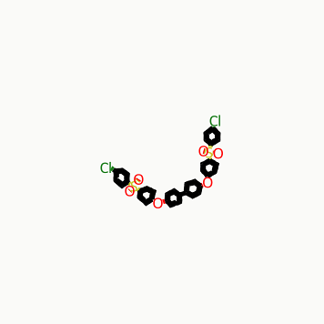 O=S(=O)(c1ccc(Cl)cc1)c1ccc(Oc2ccc(-c3ccc(Oc4ccc(S(=O)(=O)c5ccc(Cl)cc5)cc4)cc3)cc2)cc1